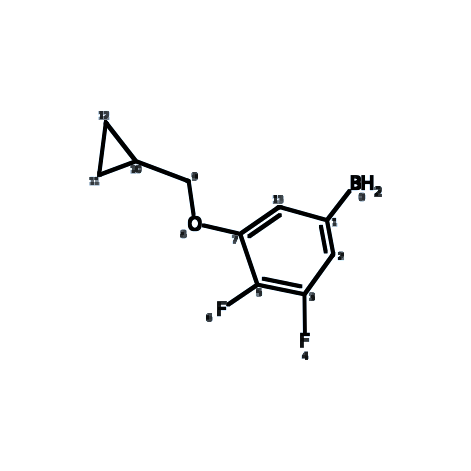 Bc1cc(F)c(F)c(OCC2CC2)c1